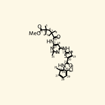 COC(=O)C(C)(C)CC(C)(C)C(=O)Nc1cc(Nc2ncc(C(=O)Nc3c(C)cccc3Cl)s2)nc(C)n1